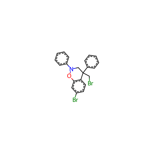 BrCC1(c2ccccc2)CN(c2ccccc2)Oc2cc(Br)ccc21